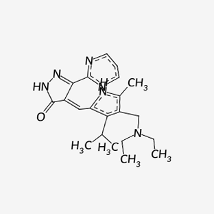 CCN(CC)Cc1c(C)[nH]c(/C=C2/C(=O)NN=C2c2ncccn2)c1C(C)C